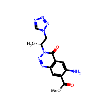 COC(=O)c1cc2nnn([C@H](C)Cn3cnnn3)c(=O)c2cc1N